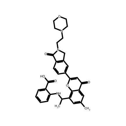 Cc1cc(C(C)Nc2ccccc2C(=O)O)c2oc(-c3ccc4c(c3)CN(CCN3CCOCC3)C4=O)cc(=O)c2c1